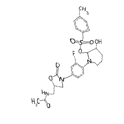 CC(=O)NCC1CN(c2ccc(N3CCCC(O)C3OS(=O)(=O)c3ccc(C)cc3)c(F)c2)C(=O)O1